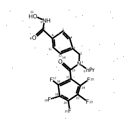 CCCN(Cc1ccc(C(=O)NO)cc1)C(=O)c1c(F)c(F)c(F)c(F)c1F